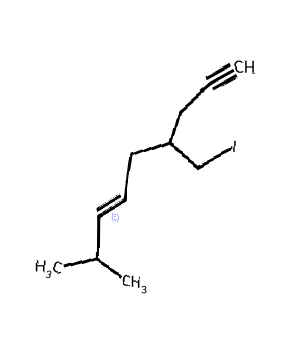 C#CCC(CI)C/C=C/C(C)C